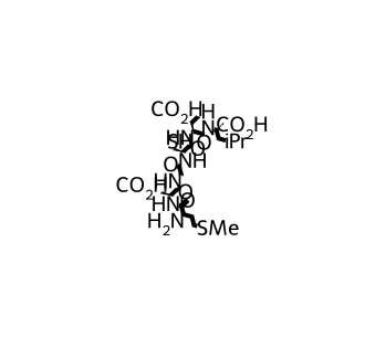 CSCC[C@H](N)C(=O)N[C@@H](CC(=O)O)C(=O)NCC(=O)N[C@@H](CS)C(=O)N[C@@H](CCC(=O)O)C(=O)N[C@@H](CC(C)C)C(=O)O